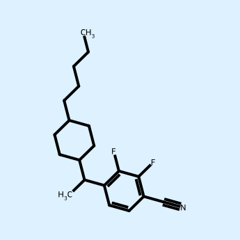 CCCCCC1CCC(C(C)c2ccc(C#N)c(F)c2F)CC1